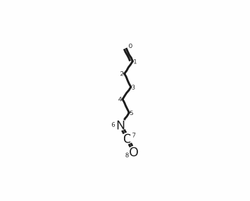 C=CCCCCN=C=O